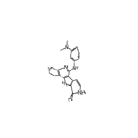 CN(C)c1cccc(Nc2nc3cnccc3c3[nH]c4c(=O)[nH]ccc4c23)c1